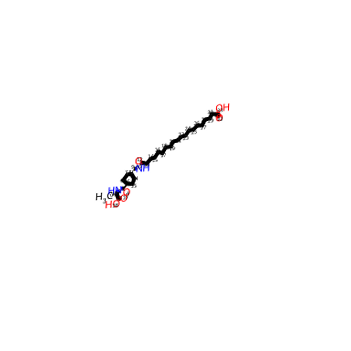 C[C@H](NC(=O)[C@H]1CC[C@H](CNC(=O)CCCCCCCCCCCCCCCCCCC(=O)O)CC1)C(=O)O